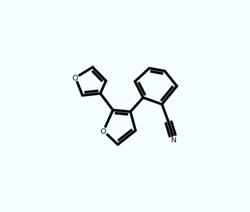 N#Cc1ccccc1-c1ccoc1-c1ccoc1